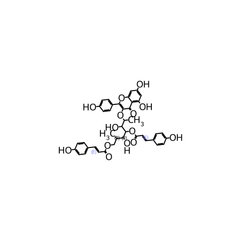 CC(Oc1c(-c2ccc(O)cc2)oc2cc(O)cc(O)c2c1=O)C(O)C(OC(=O)/C=C/c1ccc(O)cc1)[C@H](O)[C@H](C)COC(=O)/C=C/c1ccc(O)cc1